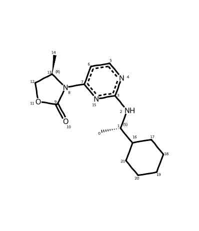 C[C@H](Nc1nccc(N2C(=O)OC[C@H]2C)n1)C1CCCCC1